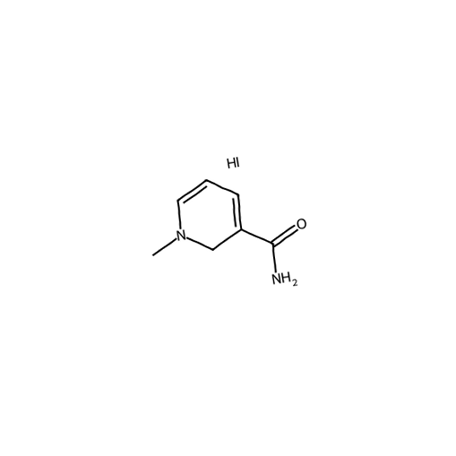 CN1C=CC=C(C(N)=O)C1.I